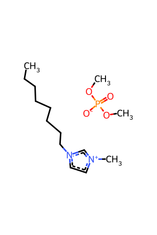 CCCCCCCCn1cc[n+](C)c1.COP(=O)([O-])OC